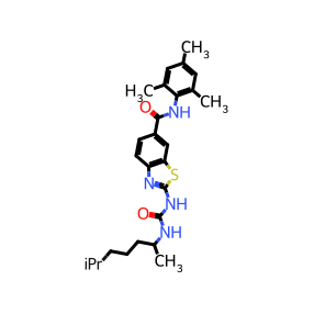 Cc1cc(C)c(NC(=O)c2ccc3nc(NC(=O)NC(C)CCCC(C)C)sc3c2)c(C)c1